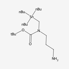 CCC[CH2][Sn]([CH2]CCC)([CH2]CCC)[CH2]N(CCCN)C(=O)OC(C)(C)C